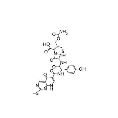 CSc1ncc2c(=O)c(C(=O)NC(C(=O)NC3C(=O)N4C(C(=O)O)=C(COC(N)=O)CS[C@@H]34)c3ccc(O)cc3)c[nH]c2n1